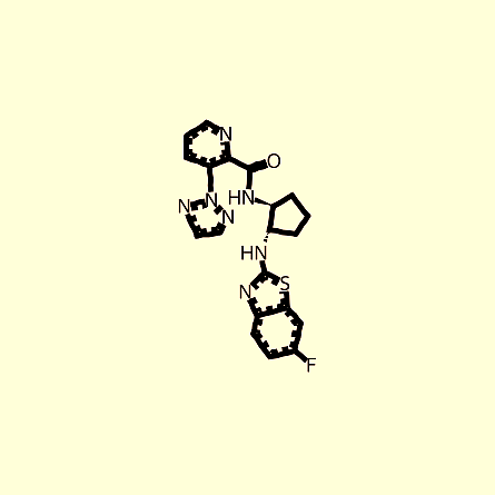 O=C(N[C@H]1CCC[C@@H]1Nc1nc2ccc(F)cc2s1)c1ncccc1-n1nccn1